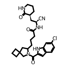 N#C[C@H](C[C@@H]1CCCNC1=O)NC(=O)CCCC1CC2(CCC2)CN1C(=O)c1cc2ccc(Cl)cc2[nH]1